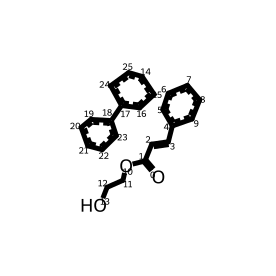 O=C(C=Cc1ccccc1)OCCO.c1ccc(-c2ccccc2)cc1